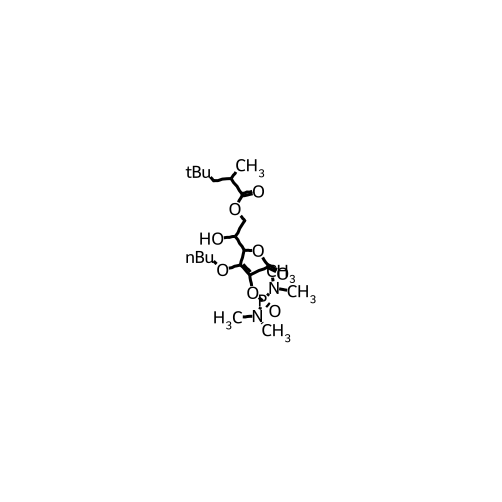 CCCCOC1=C(OP(=O)(N(C)C)N(C)C)C(=O)OC1C(O)COC(=O)C(C)CC(C)(C)C